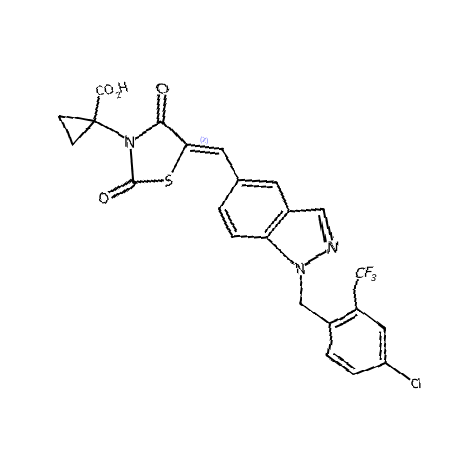 O=C1S/C(=C\c2ccc3c(cnn3Cc3ccc(Cl)cc3C(F)(F)F)c2)C(=O)N1C1(C(=O)O)CC1